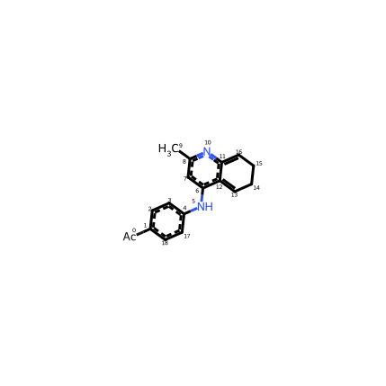 CC(=O)c1ccc(Nc2cc(C)nc3c2=CCCC=3)cc1